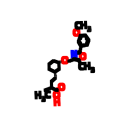 CCC(CC[C@@H]1CCC[C@H](OCc2nc(-c3cccc(OC)c3)oc2C)C1)C(=O)O